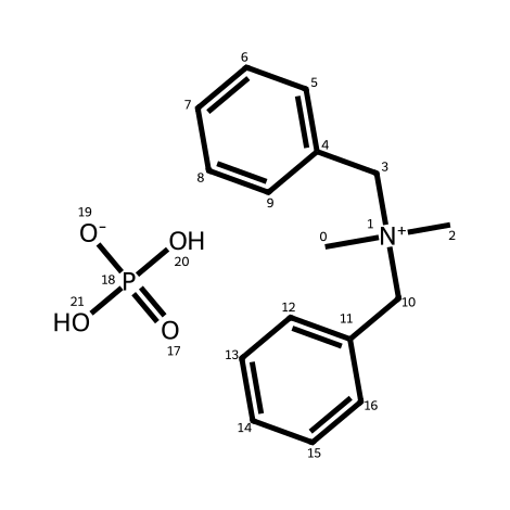 C[N+](C)(Cc1ccccc1)Cc1ccccc1.O=P([O-])(O)O